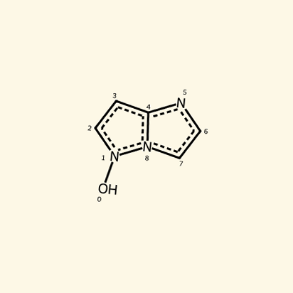 On1ccc2nccn21